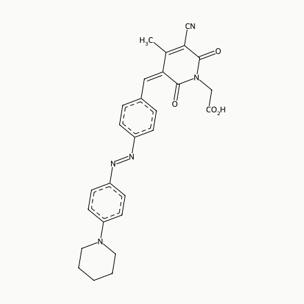 CC1=C(C#N)C(=O)N(CC(=O)O)C(=O)/C1=C\c1ccc(/N=N/c2ccc(N3CCCCC3)cc2)cc1